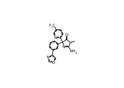 CN1C(=O)C(c2cccc(-c3cocn3)c2)(c2ccc(C(F)(F)F)cn2)N=C1N